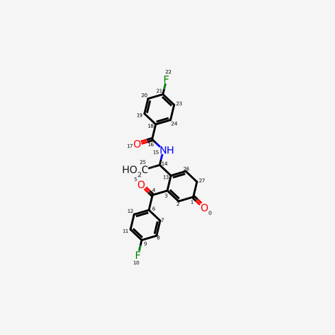 O=C1C=C(C(=O)c2ccc(F)cc2)C(C(NC(=O)c2ccc(F)cc2)C(=O)O)=CC1